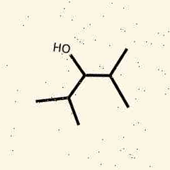 CC(C)C(O)C(C)C